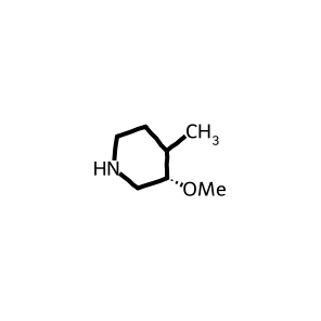 CO[C@@H]1CNCCC1C